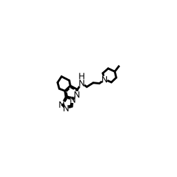 CC1CCN(CCCNc2nn3cnnc3c3c2CCCC3)CC1